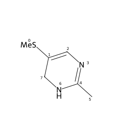 CSC1=CN=C(C)NC1